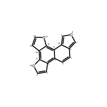 c1cc2c3ccc4cocc4c3c3occc3c2o1